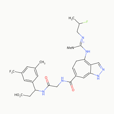 CN/C(=N\CC(C)F)NC1=c2cn[nH]c2=CC(C(=O)NCC(=O)NC(CC(=O)O)c2cc(C)cc(C(F)(F)F)c2)=CC1